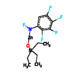 CC[Si](CC)(CC)[O][Zn][N](F)c1cc(F)c(F)c(F)c1F